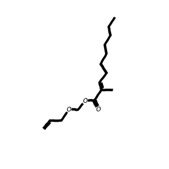 C=CCOCOC(=O)C(C)=CCCCCCCC